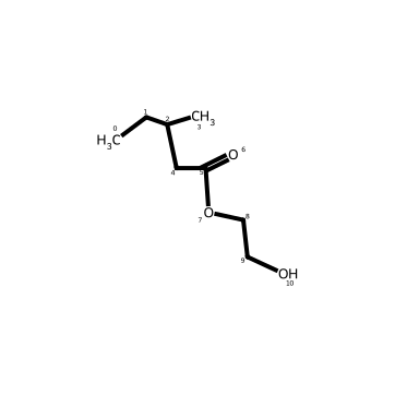 CCC(C)CC(=O)OCCO